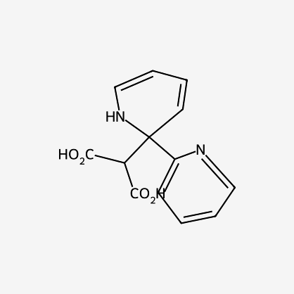 O=C(O)C(C(=O)O)C1(c2ccccn2)C=CC=CN1